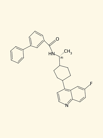 C[C@@H](NC(=O)c1cccc(-c2ccccc2)c1)C1CCC(c2ccnc3ccc(F)cc23)CC1